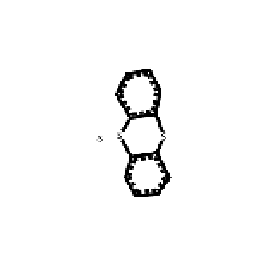 [S].c1ccc2c(c1)Sc1ccccc1S2